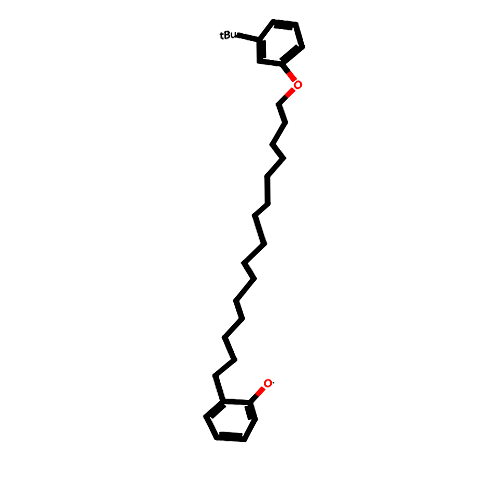 CC(C)(C)c1cccc(OCCCCCCCCCCCCCCCc2ccccc2[O])c1